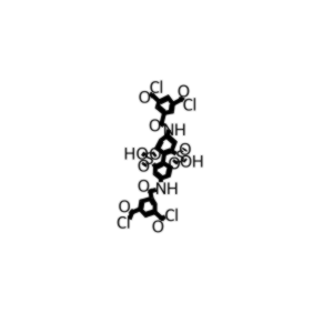 O=C(Cl)c1cc(C(=O)Cl)cc(C(=O)Nc2ccc(-c3ccc(NC(=O)c4cc(C(=O)Cl)cc(C(=O)Cl)c4)cc3S(=O)(=O)O)c(S(=O)(=O)O)c2)c1